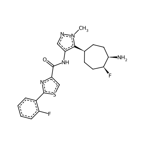 Cn1ncc(NC(=O)c2csc(-c3ccccc3F)n2)c1[C@H]1CC[C@@H](N)[C@@H](F)CC1